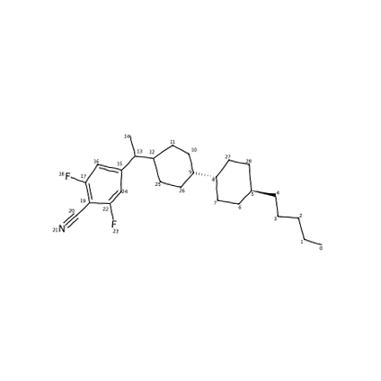 CCCCC[C@H]1CC[C@H](C2CCC(C(C)c3cc(F)c(C#N)c(F)c3)CC2)CC1